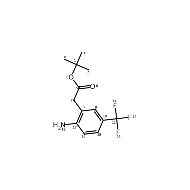 CC(C)(C)OC(=O)Cc1cc(C(F)(F)F)ccc1N